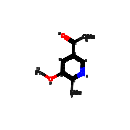 COC(=O)c1cnc(SC)c(OC(C)C)c1